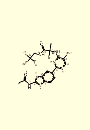 CC(=O)Nc1nc2ccc(-c3ncc(F)c(NC(C)(C)C(=O)NCC(F)(F)F)n3)cc2s1